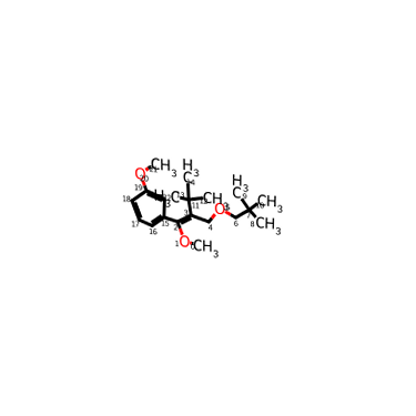 CO/C(=C(\COCC(C)(C)C)C(C)(C)C)c1cccc(OC)c1